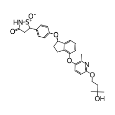 Cc1nc(OCCC(C)(C)O)ccc1Oc1cccc2c1CC[C@H]2Oc1ccc(C2CC(=O)N[S+]2[O-])cc1